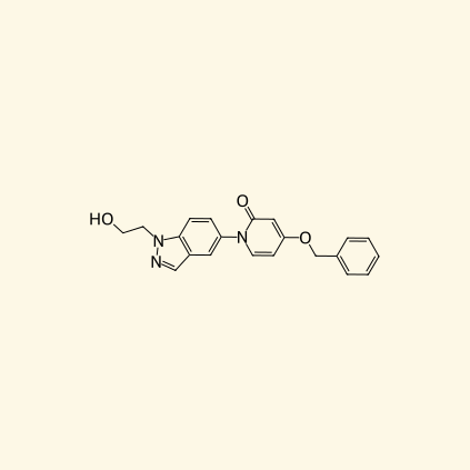 O=c1cc(OCc2ccccc2)ccn1-c1ccc2c(cnn2CCO)c1